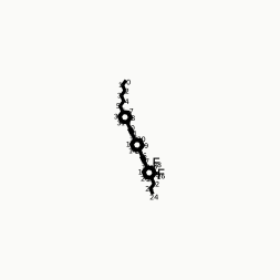 CCCCCCc1ccc(C#Cc2ccc(C#Cc3ccc(CCC)c(F)c3F)cc2)cc1